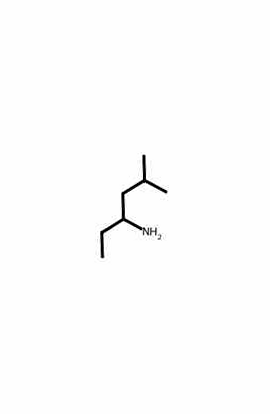 CCC(N)C[C](C)C